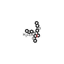 CC1(C)c2ccccc2-c2ccc(N(c3ccc4c(c3)oc3ccccc34)c3cc4c(cc3-c3ccccc3)oc3cc5ccccc5cc34)cc21